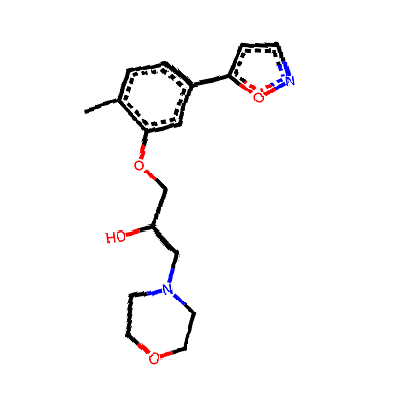 Cc1ccc(-c2ccno2)cc1OCC(O)CN1CCOCC1